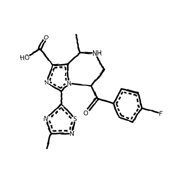 Cc1nsc(-c2nc(C(=O)O)c3n2C(C(=O)c2ccc(F)cc2)CNC3C)n1